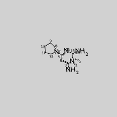 C[N+]1(C)C(N)=CC(N2CCCCC2)=NC1N